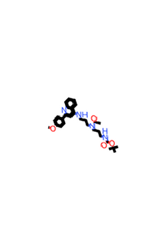 COc1ccc(-c2cc(NCCCN(CCCNC(=O)OC(C)(C)C)C(C)=O)c3ccccc3n2)cc1